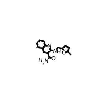 Cc1ccc(CNc2nc3ccc[c]c3cc2C(N)=O)o1